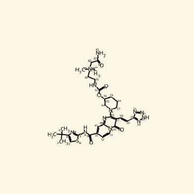 CC(C)(C)c1csc(NC(=O)c2ccn3c(=O)c(C=Cc4nn[nH]n4)c(N4CCC[C@H](OC(=O)NCC[N+](C)(C)CC(N)=O)C4)nc3c2)n1